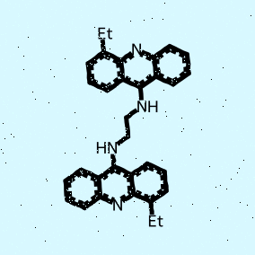 CCc1cccc2c(NCCNc3c4ccccc4nc4c(CC)cccc34)c3ccccc3nc12